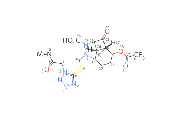 CNC(=O)Cn1nnnc1SCN1C2CCC(OC(=O)C(F)(F)F)[C@H]3C(=O)C([C@@H]23)N1C(=O)O